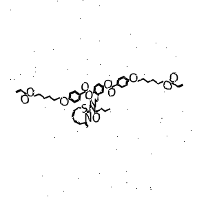 C=CC(=O)OCCCCCCOc1ccc(C(=O)Oc2ccc(OC(=O)c3ccc(OCCCCCCOC(=O)C=C)cc3)c(/C=N/N(C(=O)CCC)/C3=N/C(=C)/C=C\C=C/CS3)c2)cc1